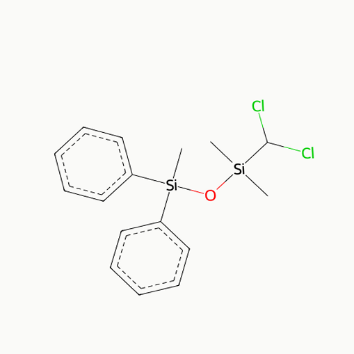 C[Si](O[Si](C)(C)C(Cl)Cl)(c1ccccc1)c1ccccc1